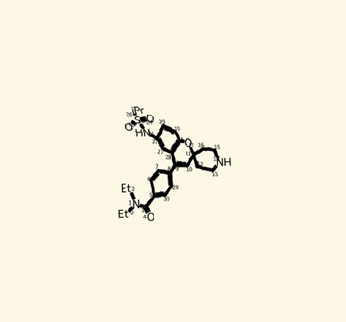 CCN(CC)C(=O)c1ccc(C2=CC3(CCNCC3)Oc3ccc(NS(=O)(=O)C(C)C)cc32)cc1